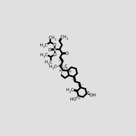 C=CCC(C(=O)/C=C/[C@@H](C)[C@H]1CCC2/C(=C/C=C3/C[C@@H](O)C[C@H](O)C3=C)CCC[C@@]21C)P(=O)(OC(C)C)OC(C)C